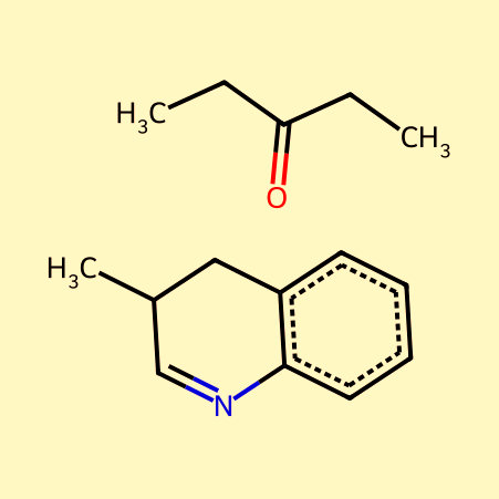 CC1C=Nc2ccccc2C1.CCC(=O)CC